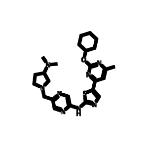 Cc1cc(-c2cnc(Nc3cnc(CN4CCC(N(C)C)C4)cn3)s2)nc(OC2CCCCC2)n1